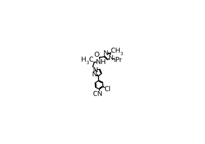 Cc1nc(C(=O)N[C@@H](C)Cn2ccc(-c3ccc(C#N)c(Cl)c3)n2)cn1C(C)C